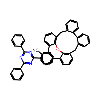 N#Cc1ccccc1-c1cccc2c1Oc1c(cccc1-c1ccc(-c3nc(-c4ccccc4)nc(-c4ccccc4)n3)cc1)Cc1ccccc1-c1ccccc1C2